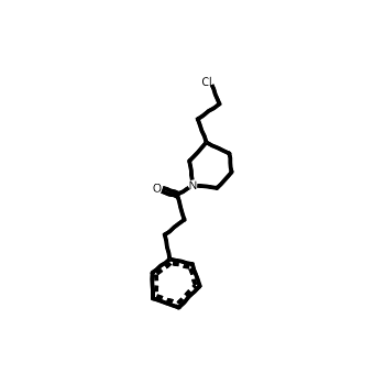 O=C(CCc1ccccc1)N1CCCC(CCCl)C1